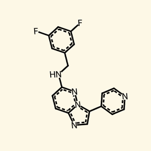 Fc1cc(F)cc(CNc2ccc3ncc(-c4ccncc4)n3n2)c1